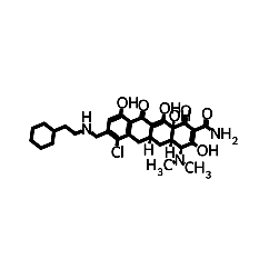 CN(C)[C@@H]1C(O)=C(C(N)=O)C(=O)[C@@]2(O)C(O)=C3C(=O)c4c(O)cc(CNCCC5CCCCC5)c(Cl)c4C[C@H]3C[C@@H]12